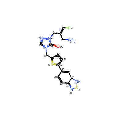 NC/C(=C\F)Cn1ncn(Cc2ccc(C3=CC4NSN=C4C=C3)s2)c1=O